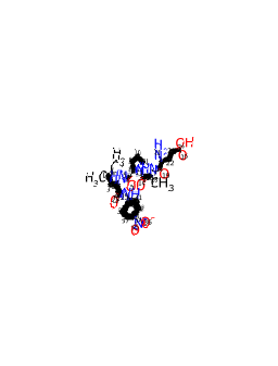 CC(C)CC(NC(=O)[C@@H]1CCCN1C(=O)C(C)NC(=O)C(N)CCC(=O)O)C(=O)Nc1ccc([N+](=O)[O-])cc1